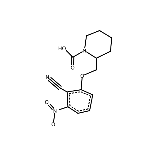 N#Cc1c(OCC2CCCCN2C(=O)O)cccc1[N+](=O)[O-]